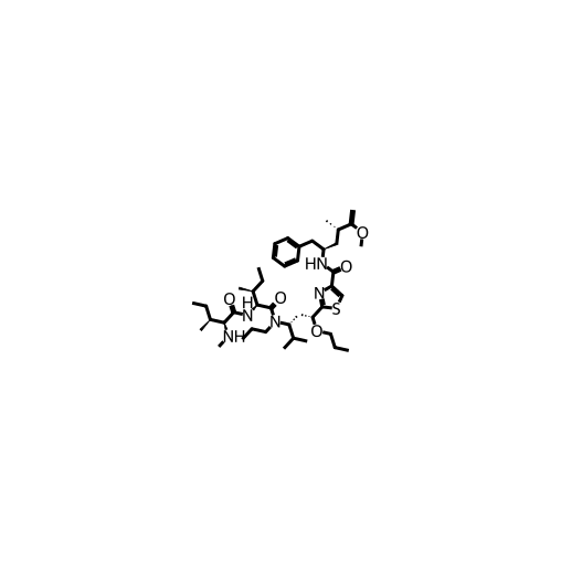 C=C(OC)[C@@H](C)C[C@H](Cc1ccccc1)NC(=O)c1csc([C@@H](C[C@H](C(C)C)N(CCC)C(=O)[C@@H](NC(=O)[C@@H](NC)[C@@H](C)CC)[C@@H](C)CC)OCCC)n1